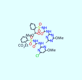 CCOC(=O)c1ccccc1S(=O)(=O)NC(=O)Nc1nc(Cl)cc(OC)n1.COC(=O)c1ccccc1S(=O)(=O)NC(=O)Nc1nc(C)nc(OC)n1